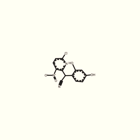 N#CC(c1ccc(O)cc1O)c1nc(Cl)ccc1[N+](=O)[O-]